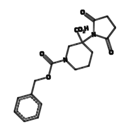 O=C(OCc1ccccc1)N1CCCC(C(=O)O)(N2C(=O)CCC2=O)C1